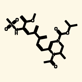 C=C(/C=C\C1=CN(C(=O)OC(C)C)CC(C)N1C(C)=O)C(=C)/C=C(/NS(C)(=O)=O)C(=C)OC